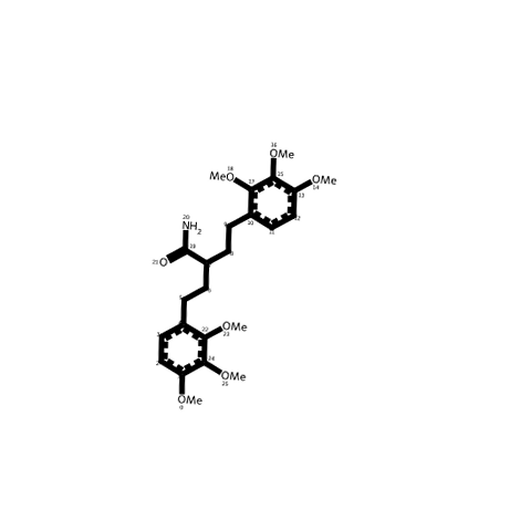 COc1ccc(CCC(CCc2ccc(OC)c(OC)c2OC)C(N)=O)c(OC)c1OC